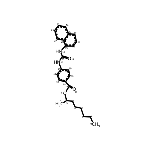 CCCCCCC(C)OC(=O)c1ccc(NC(=O)Nc2cccc3ccccc23)cc1